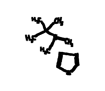 C[Si](C)C(C)(C)C.c1cscn1